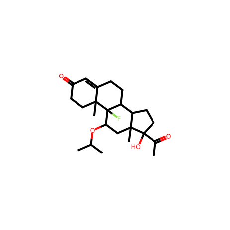 CC(=O)C1(O)CCC2C3CCC4=CC(=O)CCC4(C)C3(F)C(OC(C)C)CC21C